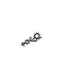 Cn1cccccc2c(n1)CCN(CC(=O)N1CCN(C3CCC3)CC1)C2